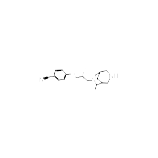 CC1C2CNCC(C2)CN1C[C@H](O)COc1ccc(C#N)cc1